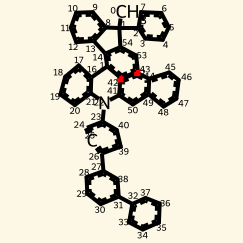 CC1(c2ccccc2)c2ccccc2-c2c(-c3ccccc3N(c3ccc(-c4cccc(-c5ccccc5)c4)cc3)c3ccc4ccccc4c3)cccc21